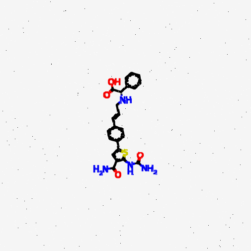 NC(=O)Nc1sc(-c2ccc(/C=C/CN[C@H](C(=O)O)c3ccccc3)cc2)cc1C(N)=O